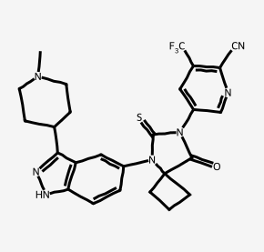 CN1CCC(c2n[nH]c3ccc(N4C(=S)N(c5cnc(C#N)c(C(F)(F)F)c5)C(=O)C45CCC5)cc23)CC1